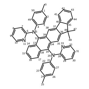 Cc1ccc(N(c2ccccn2)c2c3ccccc3c(N(c3ccc(C)cc3)c3ccccn3)c3cc4c(cc23)-c2ccccc2C4(C)C)cc1